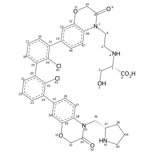 O=C(O)[C@H](CO)NCCN1C(=O)COc2cc(-c3cccc(-c4cccc(-c5ccc6c(c5)OCC(=O)N6C[C@@H]5CCCN5)c4Cl)c3Cl)ccc21